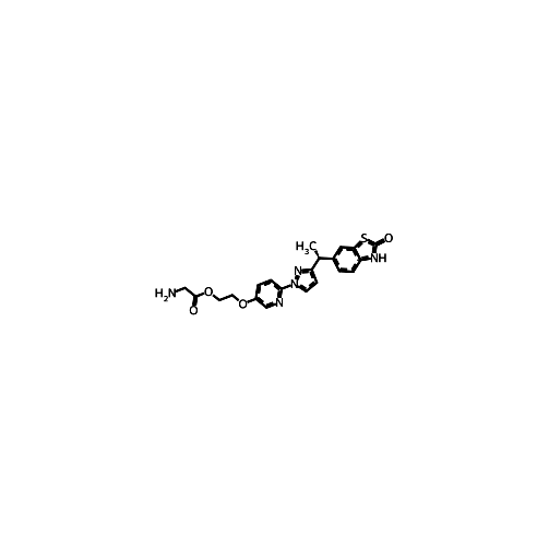 C[C@@H](c1ccc2[nH]c(=O)sc2c1)c1ccn(-c2ccc(OCCOC(=O)CN)cn2)n1